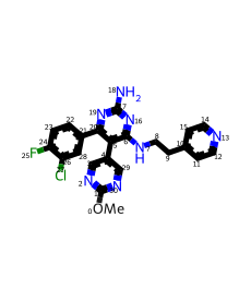 COc1ncc(-c2c(NCCc3ccncc3)nc(N)nc2-c2ccc(F)c(Cl)c2)cn1